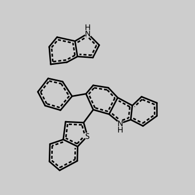 c1ccc(-c2ccc3c([nH]c4ccccc43)c2-c2cc3ccccc3s2)cc1.c1ccc2[nH]ccc2c1